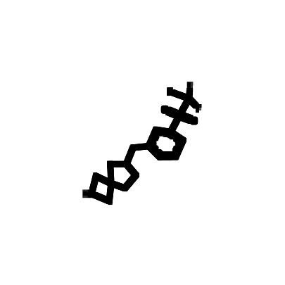 O=S(=O)(c1cccc(CC2CCC3(CNC3)C2)c1)C(F)(F)F